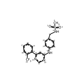 CS(=O)(=O)NCc1ccc(Nc2cc(-c3ccccc3C(F)(F)F)ncn2)cc1